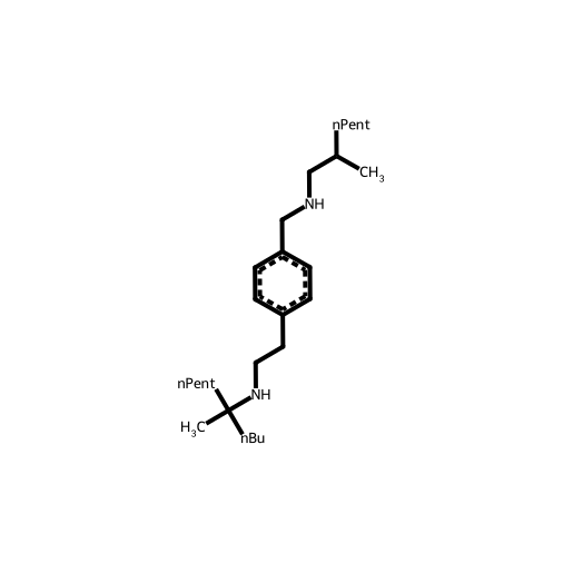 CCCCCC(C)CNCc1ccc(CCNC(C)(CCCC)CCCCC)cc1